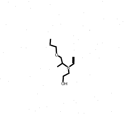 C=CN(CCO)C(C)COCCC